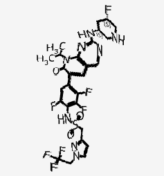 CC(C)n1c(=O)c(-c2cc(F)c(NS(=O)(=O)Cc3ccn(CC(F)(F)F)n3)c(F)c2F)cc2cnc(N[C@@H]3CNC[C@@H](F)C3)nc21